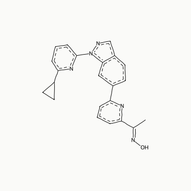 C/C(=N\O)c1cccc(-c2ccc3cnn(-c4cccc(C5CC5)n4)c3c2)n1